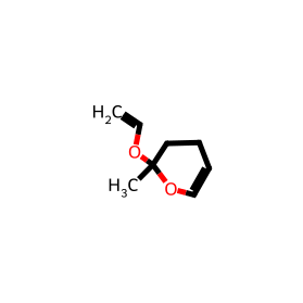 C=COC1(C)CCC=CO1